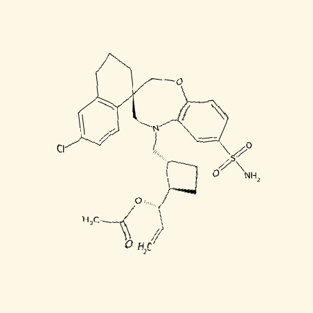 C=C[C@H](OC(C)=O)[C@@H]1CC[C@H]1CN1C[C@@]2(CCCc3cc(Cl)ccc32)COc2ccc(S(N)(=O)=O)cc21